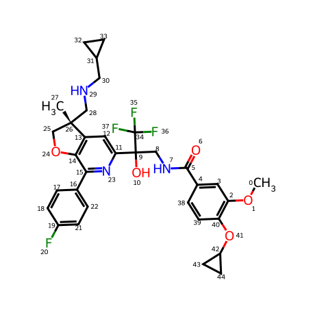 COc1cc(C(=O)NCC(O)(c2cc3c(c(-c4ccc(F)cc4)n2)OC[C@]3(C)CNCC2CC2)C(F)(F)F)ccc1OC1CC1